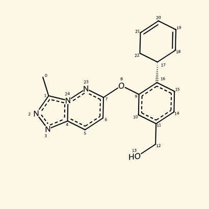 Cc1nnc2ccc(Oc3cc(CO)ccc3[C@H]3C=CC=CC3)nn12